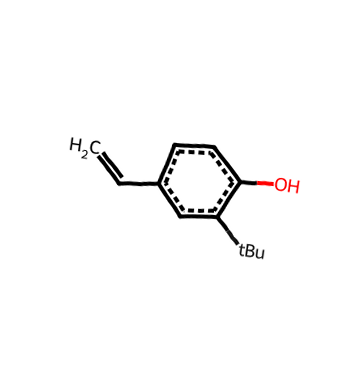 C=Cc1ccc(O)c(C(C)(C)C)c1